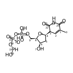 CC1=CC([C@H]2C[C@@H](O)[C@@H](COP(=O)(O)OP(=O)(O)OPO)O2)C(=O)NC1=O